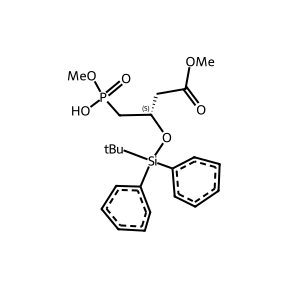 COC(=O)C[C@@H](CP(=O)(O)OC)O[Si](c1ccccc1)(c1ccccc1)C(C)(C)C